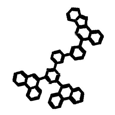 c1cc(-c2cccc(-c3nc4c(nc5ccccn54)c4ccccc34)c2)cc(-c2nc(-c3cc4ccccc4c4ccccc34)nc(-c3cc4ccccc4c4ccccc34)n2)c1